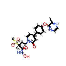 Cc1nccnc1Oc1ccc(-c2ccn(CC[C@](C)(C(=O)NO)S(C)(=O)=O)c(=O)c2)cc1